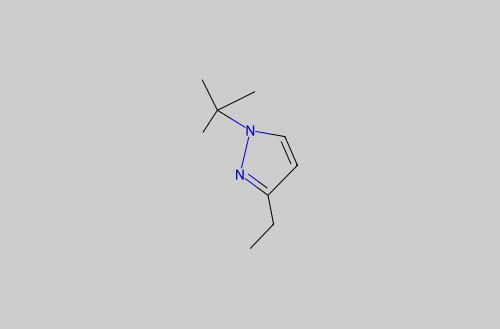 CCc1ccn(C(C)(C)C)n1